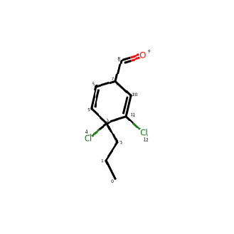 CCCC1(Cl)C=CC([C]=O)C=C1Cl